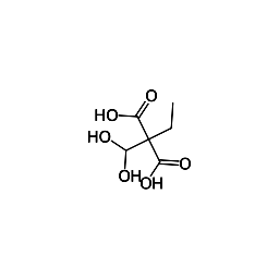 CCC(C(=O)O)(C(=O)O)C(O)O